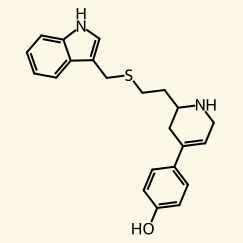 Oc1ccc(C2=CCNC(CCSCc3c[nH]c4ccccc34)C2)cc1